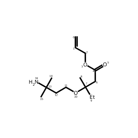 C=CCOC(=O)CC(C)(CC)OCCC(C)(C)N